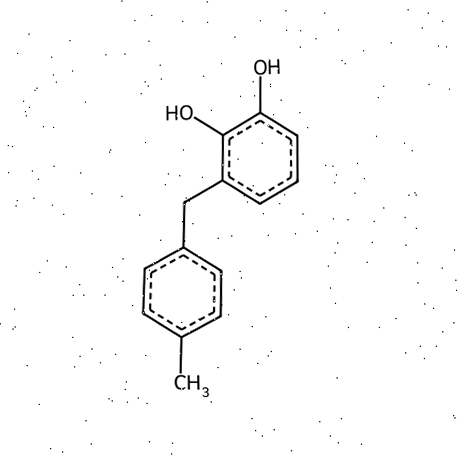 Cc1ccc(Cc2cccc(O)c2O)cc1